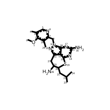 COc1c(C)cnc(Cn2nc3c4c(nc(N)nc42)SC(CC(C)C)C(N)C3)c1C